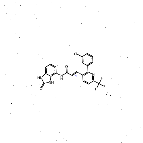 O=C(/C=C/c1ccc(C(F)(F)F)nc1-c1cccc(Cl)c1)Nc1cccc2[nH]c(=O)[nH]c12